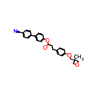 CC1(COc2ccc(CCC(=O)Oc3ccc(-c4ccc(C#N)cc4)cc3)cc2)COC1